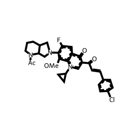 COc1c(N2CC3CCCN(C(C)=O)C3C2)c(F)cc2c(=O)c(C(=O)C=Cc3ccc(Cl)cc3)cn(C3CC3)c12